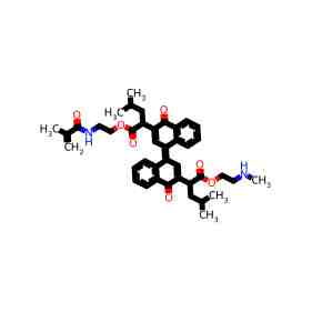 C=C(C)C(=O)NCCOC(=O)C(CC(C)C)C1=C/C(=C2/C=C(C(CC(C)C)C(=O)OCCNC)C(=O)c3ccccc32)c2ccccc2C1=O